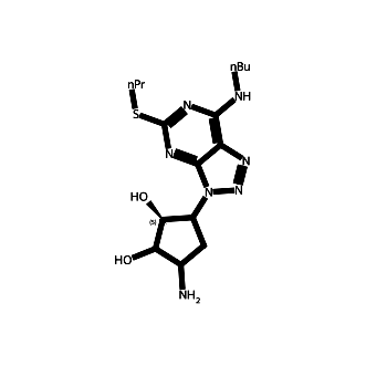 CCCCNc1nc(SCCC)nc2c1nnn2C1CC(N)C(O)[C@H]1O